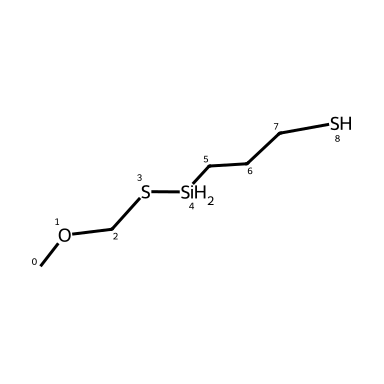 COCS[SiH2]CCCS